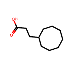 O=C(O)CCC1CCCCCCC1